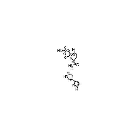 O=C(NOC[C@H]1C[C@@H](c2cc[nH]n2)CN1)[C@@H]1CC[C@@H]2CN1C(=O)N2OS(=O)(=O)O